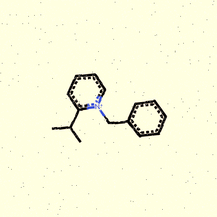 CC(C)c1cccc[n+]1Cc1ccccc1